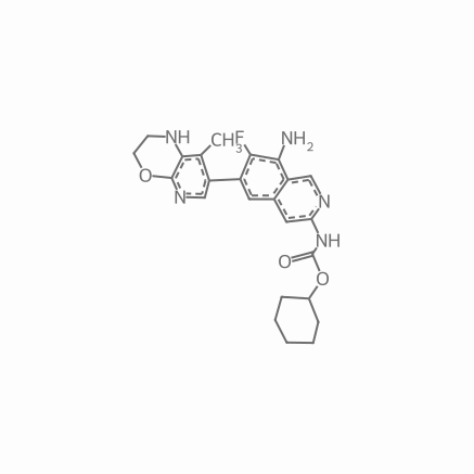 Cc1c(-c2cc3cc(NC(=O)OC4CCCCC4)ncc3c(N)c2F)cnc2c1NCCO2